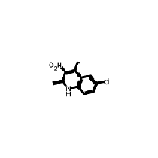 C=C1Nc2ccc(Cl)cc2C(C)=C1[N+](=O)[O-]